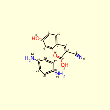 N#CC(=Cc1ccc(O)cc1)C(=O)O.Nc1ccc(N)cc1